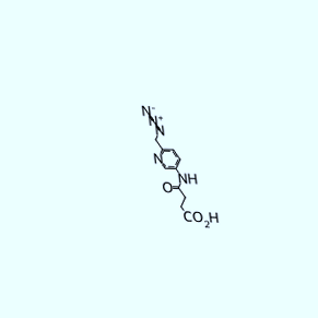 [N-]=[N+]=NCc1ccc(NC(=O)CCC(=O)O)cn1